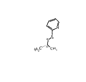 [CH2][C@@H](C)SSc1ccccn1